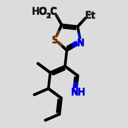 C/C=C\C(C)/C(C)=C(\C=N)c1nc(CC)c(C(=O)O)s1